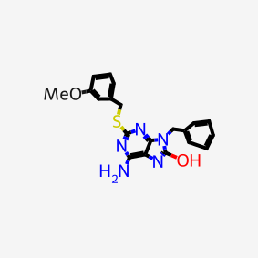 COc1cccc(CSc2nc(N)c3nc(O)n(Cc4ccccc4)c3n2)c1